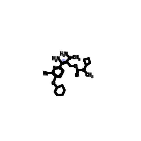 CCc1nc(/C(N)=C(\COC(=O)N(C)C2CCC2)N(C)N)ccc1OC1CCCCC1